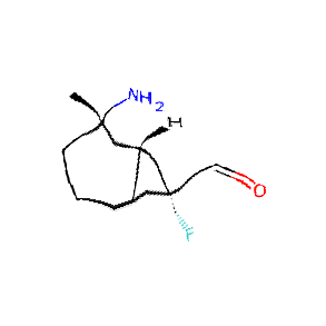 C[C@]1(N)CCC2[C@H]1[C@@]2(F)C=O